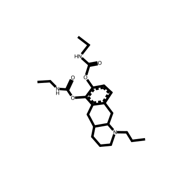 CCCN1CCCC2Cc3c(ccc(OC(=O)NCC)c3OC(=O)NCC)CC21